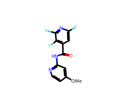 COc1ccnc(NC(=O)c2cc(F)nc(F)c2F)c1